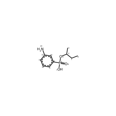 CCC(C)OP(=O)(O)c1cccc(N)c1